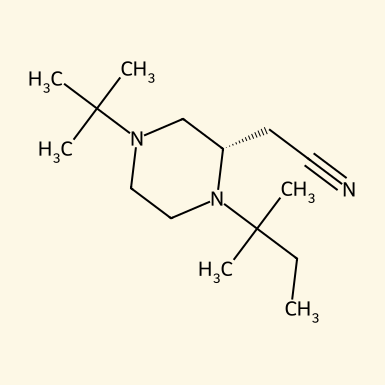 CCC(C)(C)N1CCN(C(C)(C)C)C[C@@H]1CC#N